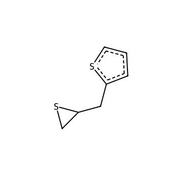 c1csc(CC2CS2)c1